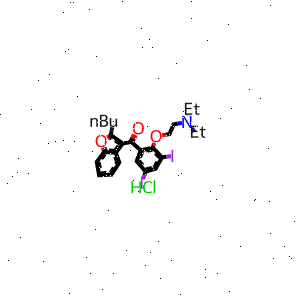 CCCCc1oc2ccccc2c1C(=O)c1cc(I)cc(I)c1OCCN(CC)CC.Cl